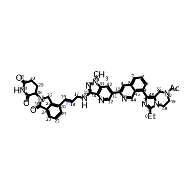 CCc1nc(-c2cccc3cc(-c4cnc5c(NC/C=C/c6cccc7c6CN(C6CCC(=O)NC6=O)C7=O)nn(C)c5c4)ncc23)c2n1CCN(C(C)=O)C2